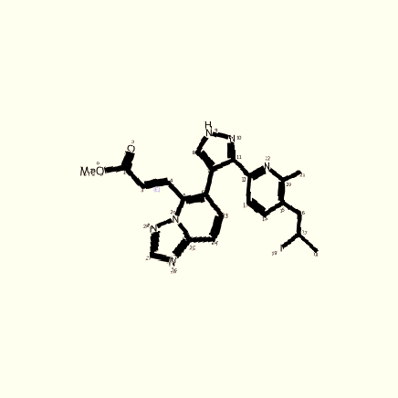 COC(=O)/C=C/c1c(-c2c[nH]nc2-c2ccc(CC(C)I)c(C)n2)ccc2ncnn12